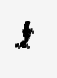 Cc1nn(Cc2ccc(F)c(C(C)C)n2)c2cccc(NC(=O)C3CN=C4C=C(OCCN5CCN(C)[C@@H](C)C5)C=CN43)c12